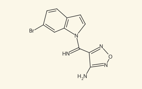 N=C(c1nonc1N)n1ccc2ccc(Br)cc21